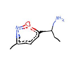 Cc1cc(C(C)N)on1